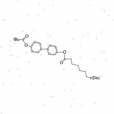 CCCCCCCCCCCCCCCCC(=O)Oc1ccc(-c2ccc(OC(=O)C(C)CC)cc2)cc1